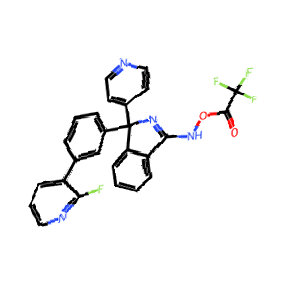 O=C(ONC1=NC(c2ccncc2)(c2cccc(-c3cccnc3F)c2)c2ccccc21)C(F)(F)F